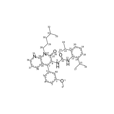 COc1cccc(-c2c(NC(=O)Nc3c(C(C)C)cccc3C(C)C)c(=O)n(CCCC(C)C)c3ncccc23)c1